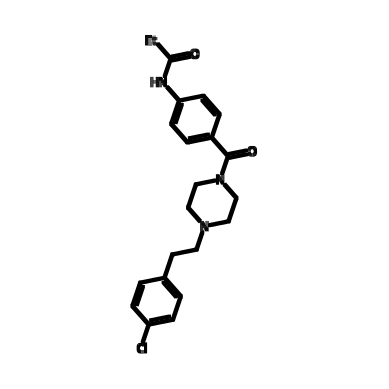 CCC(=O)Nc1ccc(C(=O)N2CCN(CCc3ccc(Cl)cc3)CC2)cc1